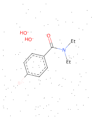 [B+2]c1ccc(C(=O)N(CC)CC)cc1.[OH-].[OH-]